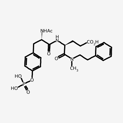 CC(=O)N[C@@H](Cc1ccc(OP(=O)(O)O)cc1)C(=O)N[C@@H](CCC(=O)O)C(=O)N(C)CCc1ccccc1